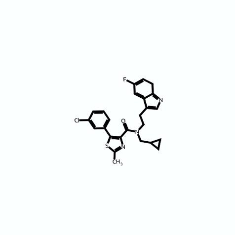 Cc1nc(C(=O)N(CCC2=CN=C3CC=C(F)C=C23)CC2CC2)c(-c2cccc(Cl)c2)s1